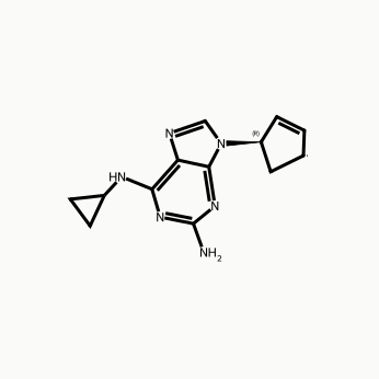 Nc1nc(NC2CC2)c2ncn([C@H]3C=C[CH]C3)c2n1